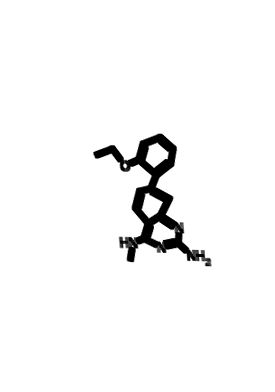 CCOc1ccccc1-c1ccc2c(NC)nc(N)nc2c1